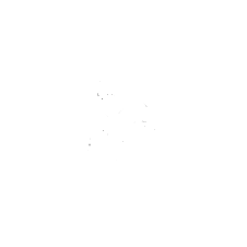 C[N+]1(C)C=C(n2ccccc2=O)c2cc(Cl)ccc2O1